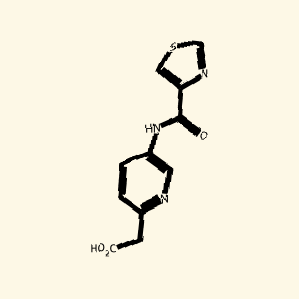 O=C(O)Cc1ccc(NC(=O)c2cscn2)cn1